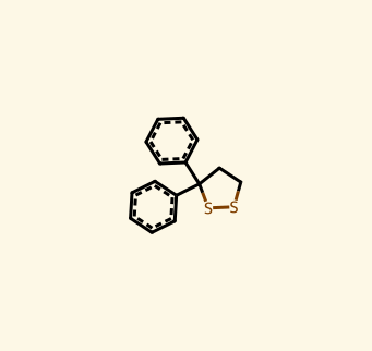 c1ccc(C2(c3ccccc3)CCSS2)cc1